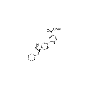 COC(=O)c1ccnc(-c2cc3nnn(CC4CCCCC4)c3cn2)c1